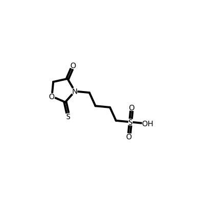 O=C1COC(=S)N1CCCCS(=O)(=O)O